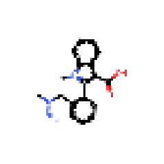 CN(N)Cc1ccccc1-c1c(C(=O)O)c2ccccc2n1C